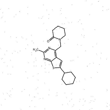 Cc1nc(CN2CCCCC2=O)c2cc(C3CCCCC3)sc2n1